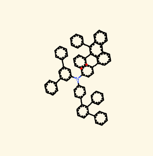 c1ccc(-c2cc(-c3ccccc3)cc(N(c3ccc(-c4cccc(-c5ccccc5)c4-c4ccccc4)cc3)c3ccc(-c4cccc5c4c(-c4ccccc4)c(-c4ccccc4)c4ccccc45)cc3)c2)cc1